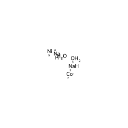 O.O.[Co].[NaH].[NaH].[Ni]